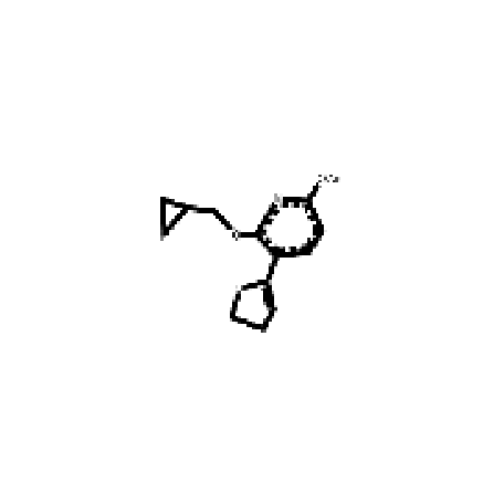 CC(=O)Oc1ccc(C2=CCCO2)c(OCC2CC2)n1